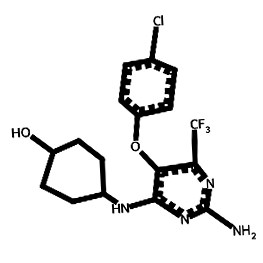 Nc1nc(NC2CCC(O)CC2)c(Oc2ccc(Cl)cc2)c(C(F)(F)F)n1